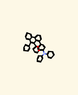 c1ccc(-c2c(-c3ccccc3)c3c(-c4ccc(N(c5ccccc5)c5ccccc5)cc4)cccc3c3ccccc23)cc1